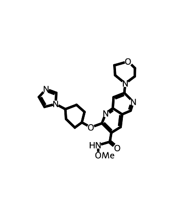 CONC(=O)c1cc2cnc(N3CCOCC3)cc2nc1OC1CCC(n2ccnc2)CC1